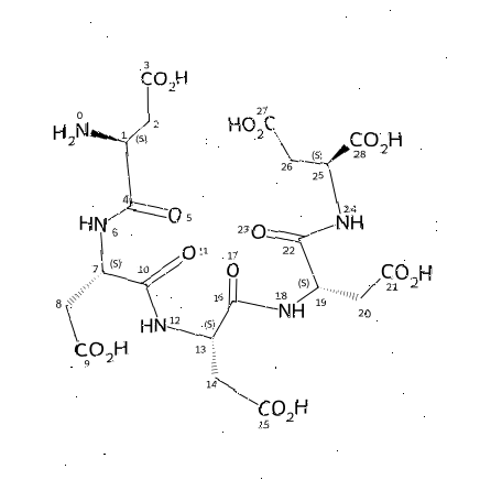 N[C@@H](CC(=O)O)C(=O)N[C@@H](CC(=O)O)C(=O)N[C@@H](CC(=O)O)C(=O)N[C@@H](CC(=O)O)C(=O)N[C@@H](CC(=O)O)C(=O)O